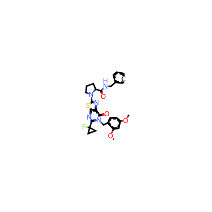 COc1ccc(Cn2c(C3(F)CC3)nc3sc(N4CCCC4C(=O)NCc4ccccc4)nc3c2=O)c(OC)c1